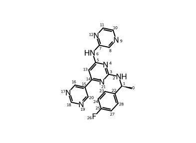 C[C@H](Nc1nc(Nc2cnccn2)cc(-c2cncnc2)n1)c1ccc(F)cc1